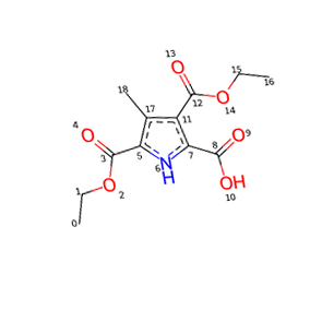 CCOC(=O)c1[nH]c(C(=O)O)c(C(=O)OCC)c1C